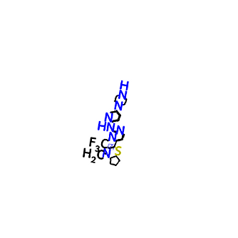 C=N/C(=C(\SC1CCCC1)c1ccnc(Nc2ccc(N3CCNCC3)cn2)n1)C(F)(F)F